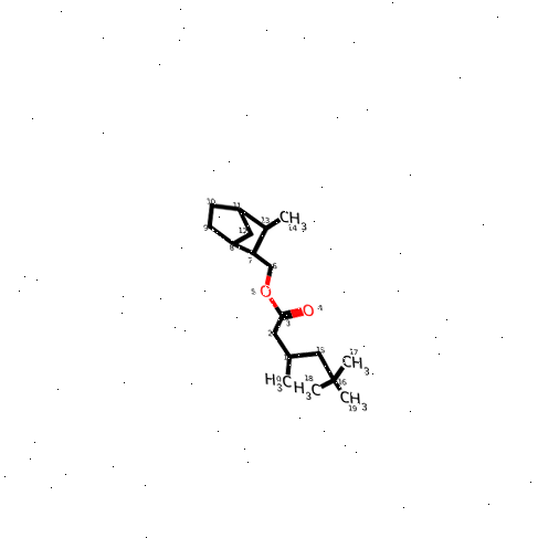 CC(CC(=O)OCC1C2CCC(C2)C1C)CC(C)(C)C